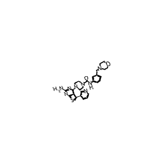 Nc1nc(N2CCN(C(=O)Nc3cccc(CN4CCOCC4)c3)CC2)c2c(-c3cccnc3)csc2n1